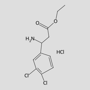 CCOC(=O)CC(N)c1ccc(Cl)c(Cl)c1.Cl